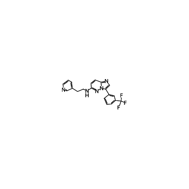 FC(F)(F)c1cccc(-c2cnc3ccc(NCCc4cccnc4)nn23)c1